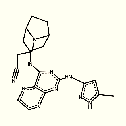 Cc1cc(Nc2nc(NC3CC4CCC(C3)N4CCC#N)c3nccnc3n2)n[nH]1